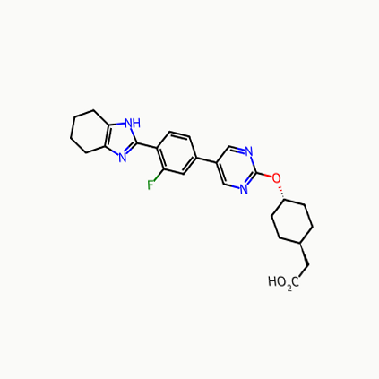 O=C(O)C[C@H]1CC[C@H](Oc2ncc(-c3ccc(-c4nc5c([nH]4)CCCC5)c(F)c3)cn2)CC1